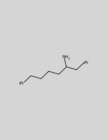 CC(C)CCCCC(N)CC(C)C